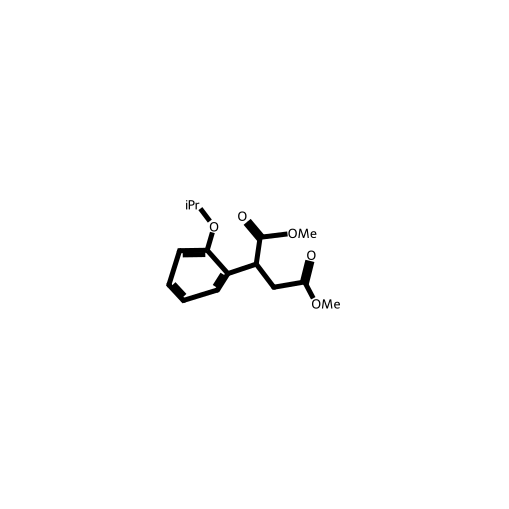 COC(=O)CC(C(=O)OC)c1ccccc1OC(C)C